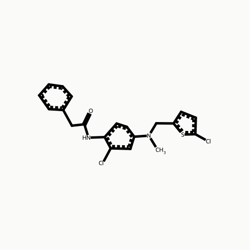 CN(Cc1ccc(Cl)s1)c1ccc(NC(=O)Cc2ccccc2)c(Cl)c1